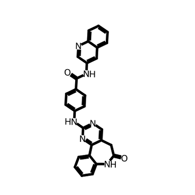 O=C1Cc2cnc(Nc3ccc(C(=O)Nc4cnc5ccccc5c4)cc3)nc2-c2ccccc2N1